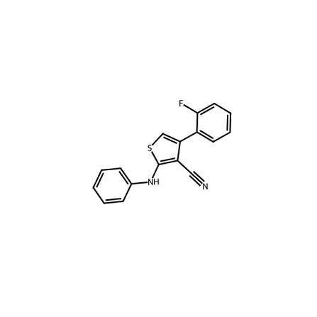 N#Cc1c(-c2ccccc2F)csc1Nc1ccccc1